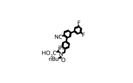 CCCCC(=O)N(Cc1ccc(-c2cc(-c3cc(F)cc(F)c3)ccc2C#N)cc1)C(C(=O)O)C(C)C